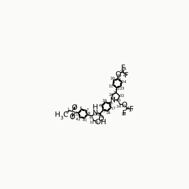 CCS(=O)(=O)c1ccc([C@H](CO)NC(=O)c2ccc(N3CC(c4ccc(OC(F)F)cc4)C[C@H]3COC(F)F)cc2)cc1